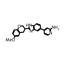 COc1ccc2c(c1)CC(c1nc3cc(-c4ccnc(N)c4)ccc3[nH]1)CO2